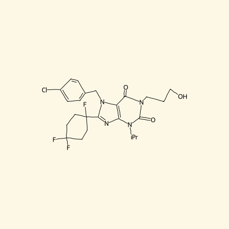 CC(C)n1c(=O)n(CCCO)c(=O)c2c1nc(C1(F)CCC(F)(F)CC1)n2Cc1ccc(Cl)cc1